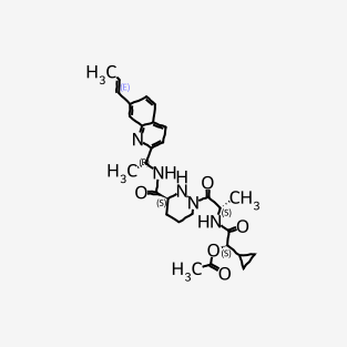 C/C=C/c1ccc2ccc([C@@H](C)NC(=O)[C@@H]3CCCN(C(=O)[C@H](C)NC(=O)[C@@H](OC(C)=O)C4CC4)N3)nc2c1